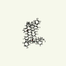 CC1(C)c2ccccc2-c2ccc(N(c3cccc4c3[Si](C)(C)c3ccccc3-4)c3ccc4ccc5c(N(c6ccccc6-c6ccccc6)c6cccc7c6[Si](C)(C)c6ccccc6-7)ccc6ccc3c4c65)cc21